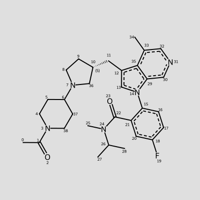 CC(=O)N1CCC(N2CC[C@H](Cc3cn(-c4ccc(F)cc4C(=O)N(C)C(C)C)c4cncc(C)c34)C2)CC1